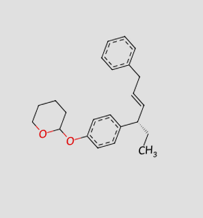 CC[C@@H](/C=C/Cc1ccccc1)c1ccc(OC2CCCCO2)cc1